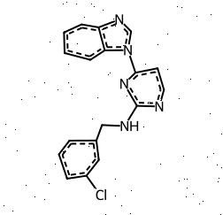 Clc1cccc(CNc2nccc(-n3cnc4ccccc43)n2)c1